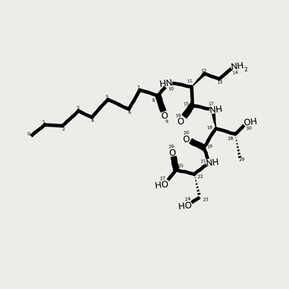 CCCCCCCCC(=O)N[C@@H](CCN)C(=O)N[C@H](C(=O)N[C@H](CO)C(=O)O)[C@@H](C)O